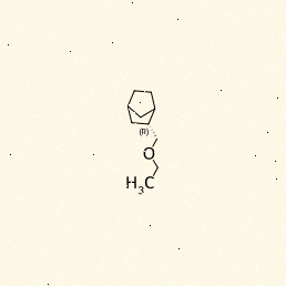 CCOC[C@@H]1CC2CCC1C2